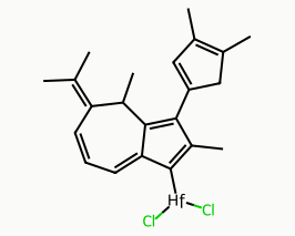 CC(C)=C1C=CC=C2C(=C(C3=CC(C)=C(C)C3)C(C)=[C]2[Hf]([Cl])[Cl])C1C